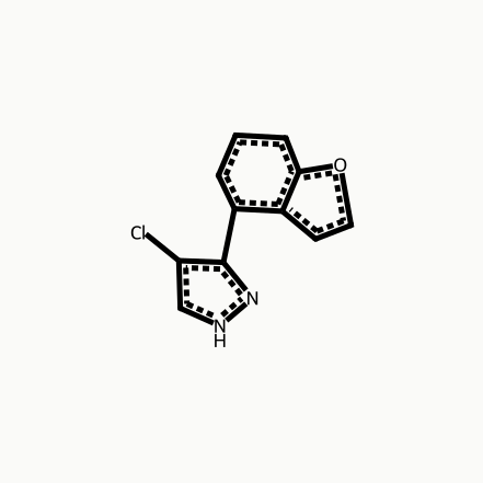 Clc1c[nH]nc1-c1cccc2occc12